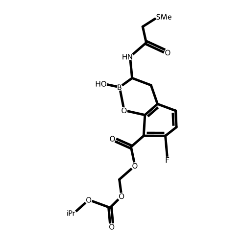 CSCC(=O)NC1Cc2ccc(F)c(C(=O)OCOC(=O)OC(C)C)c2OB1O